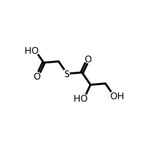 O=C(O)CSC(=O)C(O)CO